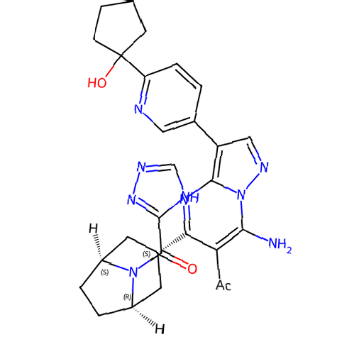 CC(=O)c1c([C@@H]2C[C@H]3CC[C@@H](C2)N3C(=O)c2nnc[nH]2)nc2c(-c3ccc(C4(O)CCCC4)nc3)cnn2c1N